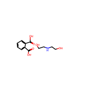 O=C(O)c1ccccc1C(=O)O.OCCNCCO